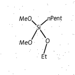 CCCCC[Si](OC)(OC)OCC